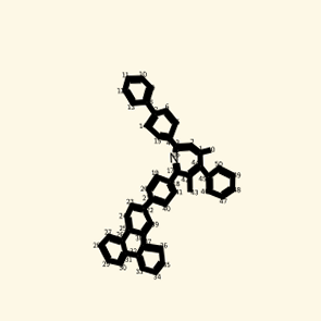 CC1=C=C(c2ccc(-c3ccccc3)cc2)N=C(c2ccc(-c3ccc4c5ccccc5c5ccccc5c4c3)cc2)C(C)=C1c1ccccc1